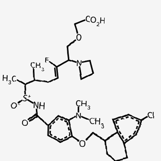 CC(C/C=C(\F)C(COCC(=O)O)N1CCC1)C(C)[S+]([O-])NC(=O)c1ccc(OCC2CCCc3cc(Cl)ccc32)c(N(C)C)c1